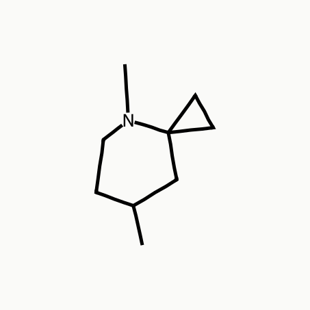 CC1CCN(C)C2(CC2)C1